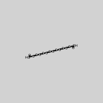 O=C(O)CCOCCOCCOCCOCCOCCOCCOCCOCCOCCOCCOCCOCCC(=O)O